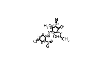 C=CCn1c(O)c(N=Nc2ccc(Cl)cc2[N+](=O)[O-])c(C)c(C#N)c1=O